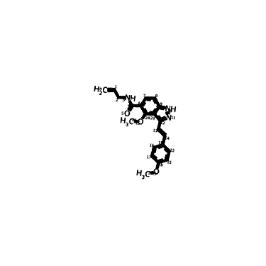 C=CCNC(=O)c1ccc2[nH]nc(C=Cc3ccc(OC)cc3)c2c1OC